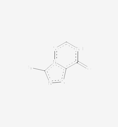 CC(C)c1nnc2c(=O)[nH]cnn12